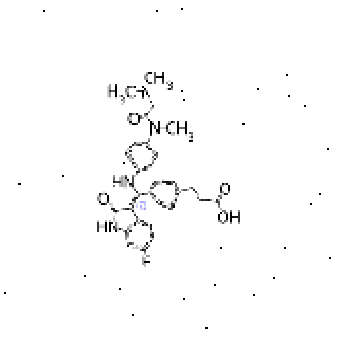 CN(C)CC(=O)N(C)c1ccc(N/C(=C2\C(=O)Nc3cc(F)ccc32)c2ccc(CCC(=O)O)cc2)cc1